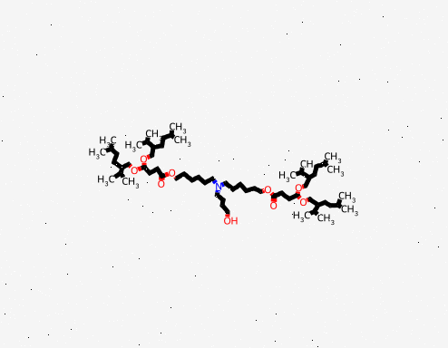 CC(C)CCC(COC(CCC(=O)OCCCCCCN(CCCCO)CCCCCCOC(=O)CCC(OCC(CCC(C)C)C(C)C)OCC(CCC(C)C)C(C)C)OCC(CCC(C)C)C(C)C)C(C)C